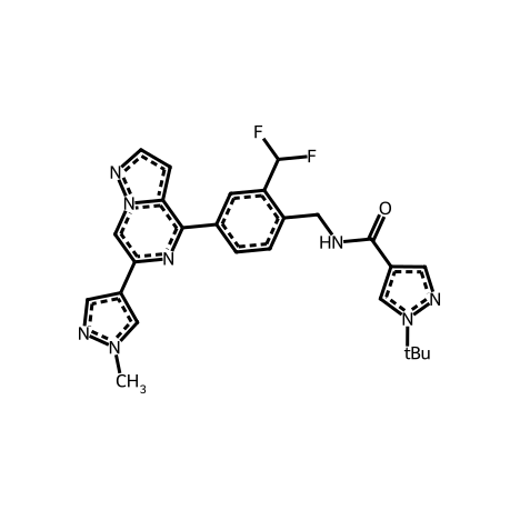 Cn1cc(-c2cn3nccc3c(-c3ccc(CNC(=O)c4cnn(C(C)(C)C)c4)c(C(F)F)c3)n2)cn1